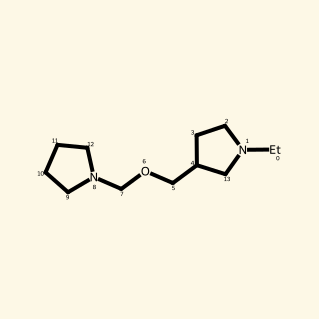 CCN1CCC(COCN2CCCC2)C1